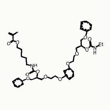 C=C(C)C(=O)OCCCCCNC(=O)OC(COCCOc1cccc(OCCOCC(COc2ccccc2)OC(=O)NCC)c1)COc1ccccc1